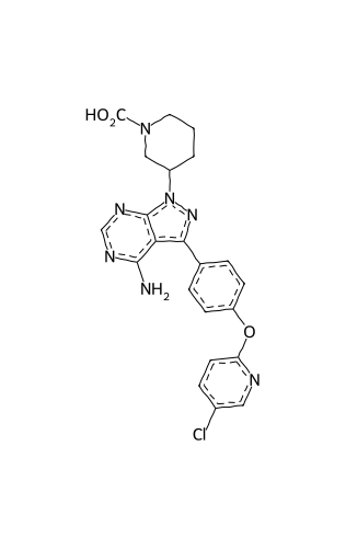 Nc1ncnc2c1c(-c1ccc(Oc3ccc(Cl)cn3)cc1)nn2C1CCCN(C(=O)O)C1